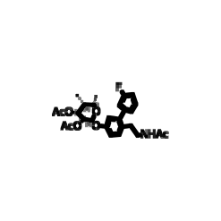 CC(=O)NCCc1ccc(O[C@@H]2O[C@@H](C)[C@@H](C)[C@@H](OC(C)=O)[C@@H]2OC(C)=O)cc1-c1cccc(F)c1